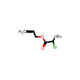 C=CCOC(=O)C(Br)CCCC